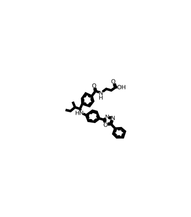 CCC(C)C(Nc1ccc(-c2nnc(-c3ccccc3)o2)cc1)c1ccc(C(=O)NCCC(=O)O)cc1